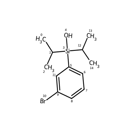 CC(C)[Si](O)(c1cccc(Br)c1)C(C)C